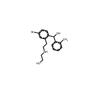 Cc1ccccc1C(O)c1ccc(Br)cc1CCNCCO